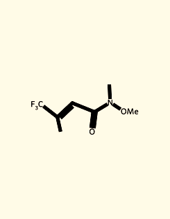 CON(C)C(=O)C=C(C)C(F)(F)F